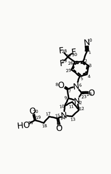 N#Cc1ccc(N2C(=O)C3C4CC(CN4C(=O)CCC(=O)O)N3C2=O)cc1C(F)(F)F